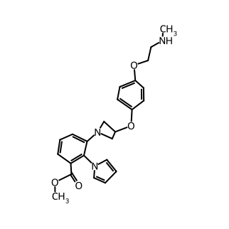 CNCCOc1ccc(OC2CN(c3cccc(C(=O)OC)c3-n3cccc3)C2)cc1